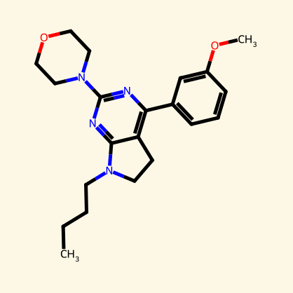 CCCCN1CCc2c(-c3cccc(OC)c3)nc(N3CCOCC3)nc21